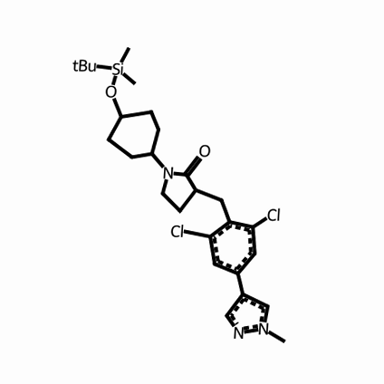 Cn1cc(-c2cc(Cl)c(CC3CCN(C4CCC(O[Si](C)(C)C(C)(C)C)CC4)C3=O)c(Cl)c2)cn1